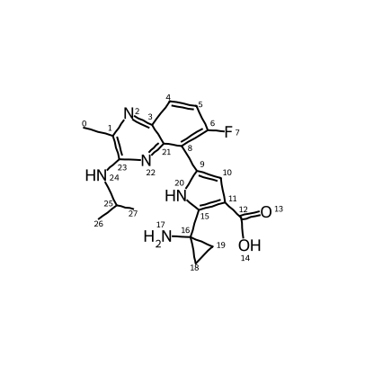 Cc1nc2ccc(F)c(-c3cc(C(=O)O)c(C4(N)CC4)[nH]3)c2nc1NC(C)C